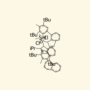 Cc1c(C(C)(C)C)cc(C2=Cc3cccc(-c4cc(C(C)(C)C)c(C)c(C(C)(C)C)c4)c3[CH]2[Zr]([Cl])([Cl])([CH]2C(C(C)C)=Cc3c(-c4cccc5ccccc45)cccc32)[SiH](C)C)cc1C(C)(C)C